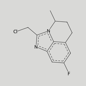 CC1CCc2cc(F)cc3nc(CCl)n1c23